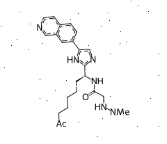 CNNCC(=O)N[C@@H](CCCCCC(C)=O)c1ncc(-c2ccc3ccncc3c2)[nH]1